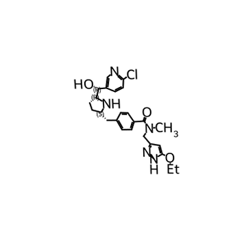 CCOc1cc(CN(C)C(=O)c2ccc(C[C@@H]3CC[C@H]([C@H](O)c4ccc(Cl)nc4)N3)cc2)n[nH]1